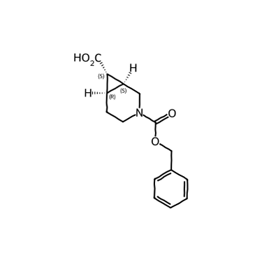 O=C(O)[C@H]1[C@@H]2CCN(C(=O)OCc3ccccc3)C[C@@H]21